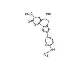 CC(C)(C)[C@@H]1Cn2nc(-c3cnc(NC4CC4)nc3)cc2-c2cc(=O)c(C(=O)O)cn21